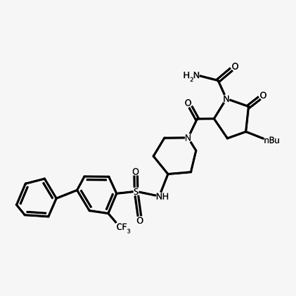 CCCCC1CC(C(=O)N2CCC(NS(=O)(=O)c3ccc(-c4ccccc4)cc3C(F)(F)F)CC2)N(C(N)=O)C1=O